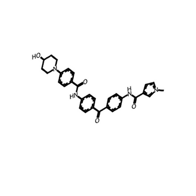 Cn1ccc(C(=O)Nc2ccc(C(=O)c3ccc(NC(=O)c4ccc(N5CCC(O)CC5)cc4)cc3)cc2)c1